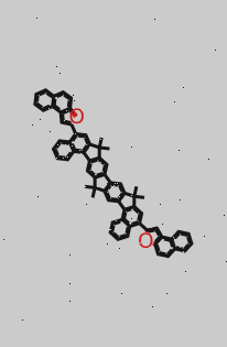 CC1(C)c2cc3c(cc2-c2cc4c(cc21)-c1c(cc(-c2cc5c(ccc6ccccc65)o2)c2ccccc12)C4(C)C)C(C)(C)c1cc(-c2cc4c(ccc5ccccc54)o2)c2ccccc2c1-3